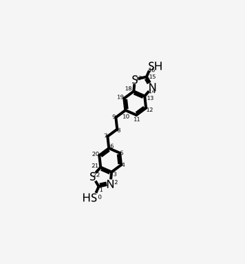 Sc1nc2ccc(CCCc3ccc4nc(S)sc4c3)cc2s1